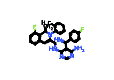 C=C1c2c(F)cccc2C=C(CNc2ncnc(N)c2C(=N)c2ccc(F)cc2)N1c1ccccc1C